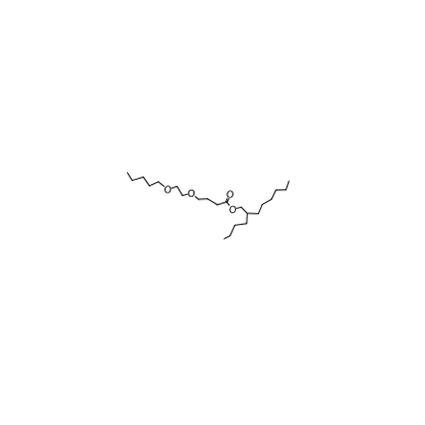 CCCCCCC(CCCC)COC(=O)CCCOCCOCCCCC